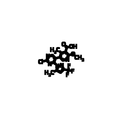 COc1ncc(-c2cnc(Cl)nc2-n2nc(C(F)(F)F)cc2C)c(C)c1C(=O)O